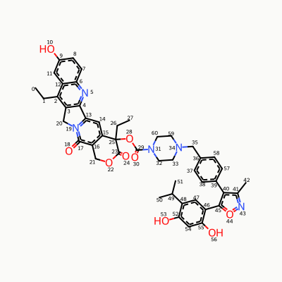 CCc1c2c(nc3ccc(O)cc13)-c1cc3c(c(=O)n1C2)COC(=O)C3(CC)OC(=O)N1CCN(Cc2ccc(-c3c(C)noc3-c3cc(C(C)C)c(O)cc3O)cc2)CC1